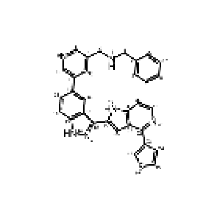 c1ccc(CNCc2cncc(-c3ccc4[nH]nc(-c5cc6c(-c7ccsc7)nccc6[nH]5)c4c3)c2)cc1